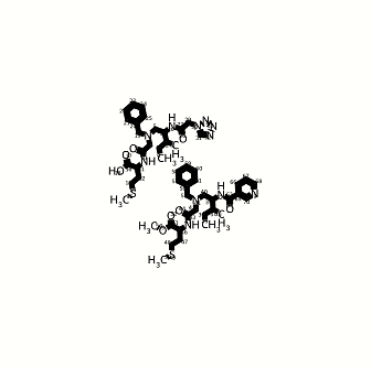 CCC(C)C(CN(CC(=O)NC(CCSC)C(=O)O)Cc1ccccc1)NC(=O)Cn1cnnn1.CCC(C)C(CN(CC(=O)NC(CCSC)C(=O)OC)Cc1ccccc1)NC(=O)c1cccnc1